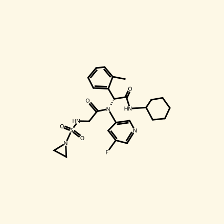 Cc1ccccc1[C@H](C(=O)NC1CCCCC1)N(C(=O)CNS(=O)(=O)N1CC1)c1cncc(F)c1